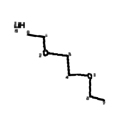 CCOCCOCC.[LiH]